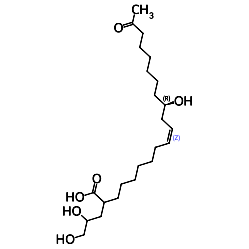 CC(=O)CCCCCC[C@@H](O)C/C=C\CCCCCCC(CC(O)CO)C(=O)O